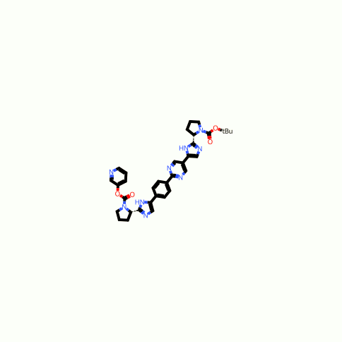 CC(C)(C)OC(=O)N1CCC[C@H]1c1ncc(-c2cnc(-c3ccc(-c4cnc([C@@H]5CCCN5C(=O)Oc5cccnc5)[nH]4)cc3)nc2)[nH]1